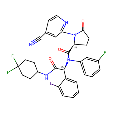 N#Cc1ccnc(N2C(=O)CC[C@H]2C(=O)N(c2cccc(F)c2)[C@H](C(=O)NC2CCC(F)(F)CC2)c2ccccc2I)c1